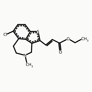 CCOC(=O)/C=C/c1sc2ccc(Cl)c3c2c1CN(C)CC3